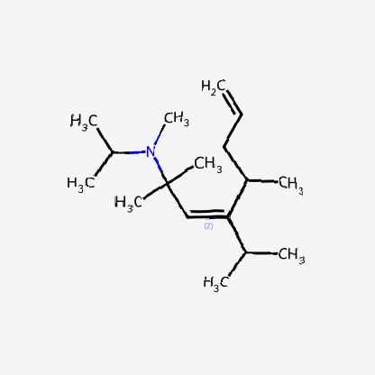 C=CCC(C)/C(=C\C(C)(C)N(C)C(C)C)C(C)C